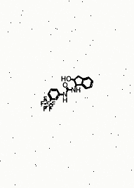 O=C(Nc1cccc(S(F)(F)(F)(F)F)c1)NC1c2ccccc2CC1O